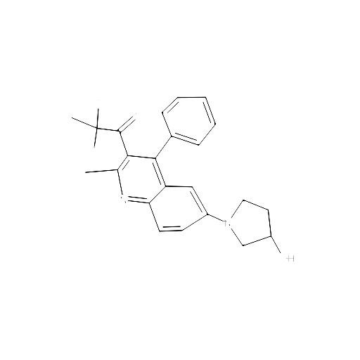 Cc1nc2ccc(N3CCC(O)C3)cc2c(-c2ccccc2)c1C(=O)C(F)(F)F